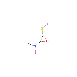 CN(I)C1OC1SI